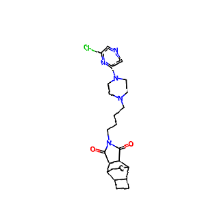 O=C1C2C3CCC(C4CCC43)C2C(=O)N1CCCCN1CCN(c2cncc(Cl)n2)CC1